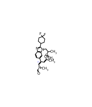 COC(C)Cn1c(C2CCC(F)(F)CC2)nc2ccc(/C(C=C(C)C)=C/N(C)C=O)cc21